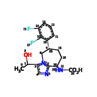 CC(O)c1cnc2n1C[C@H](c1cccc(F)c1F)CC[C@H]2NC(=O)O